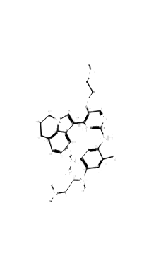 COCCOc1cnc(Nc2cc([N+](=O)[O-])c(N(C)CCN(C)C)cc2C)nc1-c1cn2c3c(cccc13)CCC2